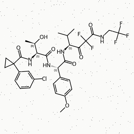 COc1ccc([C@H](NC(=O)[C@@H](NC(=O)C2(c3cccc(Cl)c3)CC2)[C@@H](C)O)C(=O)N[C@H](C(=O)C(F)(F)C(=O)NCC(F)(F)F)C(C)C)cc1